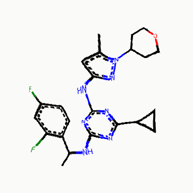 Cc1cc(Nc2nc(NC(C)c3ccc(F)cc3F)nc(C3CC3)n2)nn1C1CCOCC1